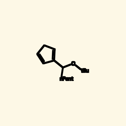 CCCCCC(OC(C)(C)C)C1=CCC=C1